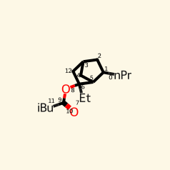 CCCC1CC2CC1C(CC)(OC(=O)C(C)CC)C2